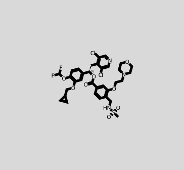 CS(=O)(=O)NCc1ccc(C(=O)O[C@@H](Cc2c(Cl)cncc2Cl)c2ccc(OC(F)F)c(OCC3CC3)c2)cc1OCCN1CCOCC1